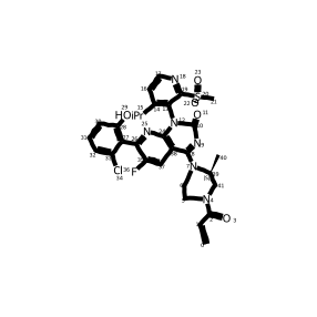 C=CC(=O)N1CCN(c2nc(=O)n(-c3c(C(C)C)ccnc3S(C)(=O)=O)c3nc(-c4c(O)cccc4Cl)c(F)cc23)[C@@H](C)C1